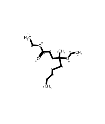 CCCCCC(C)(CCC(=O)OCC)OCC